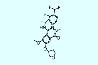 COc1cc2c(N[C@H](C)c3cccc(C(F)F)c3F)nn(C)c(=O)c2cc1OC1CCOC1